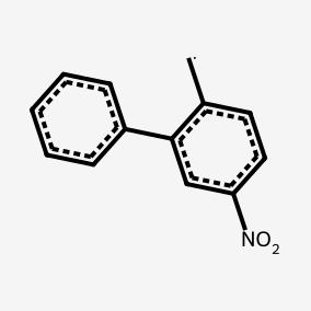 [CH2]c1ccc([N+](=O)[O-])cc1-c1ccccc1